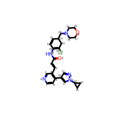 O=C(/C=C/c1cnccc1-c1cnn(C2CC2)c1)NC1=C(F)CC(CN2CCOCC2)C=C1